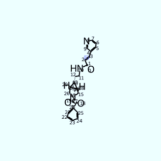 O=C(/C=C/c1cccnc1)NCC[C@@H]1[C@H]2CN(S(=O)(=O)c3ccccc3)C[C@@H]12